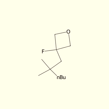 CCCCC(C)(C)CC1(F)COC1